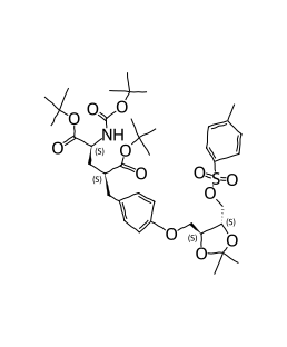 Cc1ccc(S(=O)(=O)OC[C@@H]2OC(C)(C)O[C@H]2COc2ccc(C[C@@H](C[C@H](NC(=O)OC(C)(C)C)C(=O)OC(C)(C)C)C(=O)OC(C)(C)C)cc2)cc1